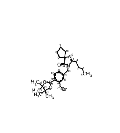 CCCCC1=NC2(CCCC2)C(=O)N1Cc1ccc(B2OC(C)(C)C(C)(C)O2)c(CBr)c1